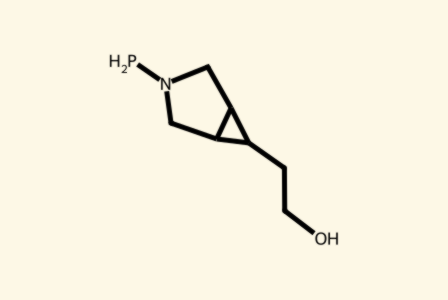 OCCC1C2CN(P)CC12